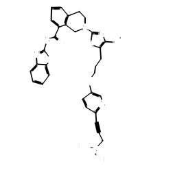 CN(C)CC#Cc1ccc(OCCCc2sc(N3CCc4cccc(C(=O)Nc5nc6ccccc6s5)c4C3)nc2OC(=O)O)cn1